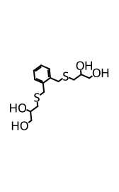 OCC(O)CSCc1ccccc1CSCC(O)CO